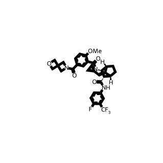 COc1ccc(C(=O)N2CC3(COC3)C2)cc1C(=O)N[C@H]1[C@@H](C(=O)Nc2ccc(F)c(C(F)(F)F)c2)[C@H]2CC[C@@H]1/C2=C\C1CC1